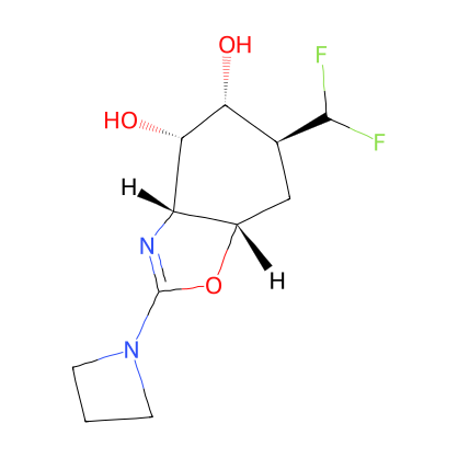 O[C@@H]1[C@H](O)[C@@H](C(F)F)C[C@@H]2OC(N3CCC3)=N[C@H]12